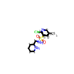 O=S(=O)(NCC1CCCCN1)c1cc(C(F)(F)F)cnc1Cl